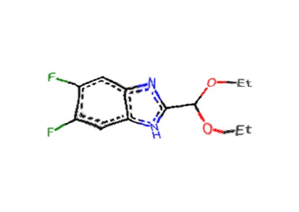 CCOC(OCC)c1nc2cc(F)c(F)cc2[nH]1